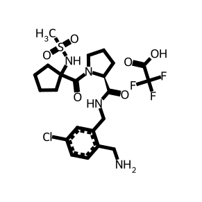 CS(=O)(=O)NC1(C(=O)N2CCC[C@H]2C(=O)NCc2cc(Cl)ccc2CN)CCCC1.O=C(O)C(F)(F)F